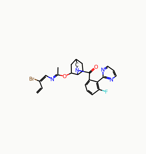 C=C/C(Br)=C\N=C(/C)OC1CC2CCC1N(C(=O)c1cccc(F)c1-c1ncccn1)C2